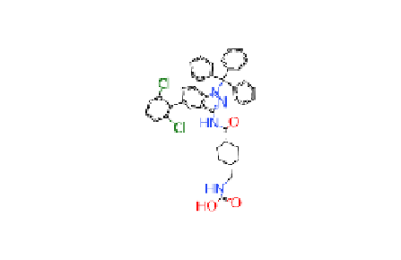 O=C(O)NC[C@H]1CC[C@H](C(=O)Nc2nn(C(c3ccccc3)(c3ccccc3)c3ccccc3)c3ccc(-c4c(Cl)cccc4Cl)cc23)CC1